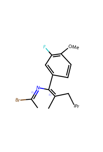 COc1ccc(C(/N=C(\C)Br)=C(/C)CC(C)C)cc1F